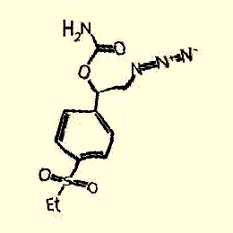 CCS(=O)(=O)c1ccc([C@H](CN=[N+]=[N-])OC(N)=O)cc1